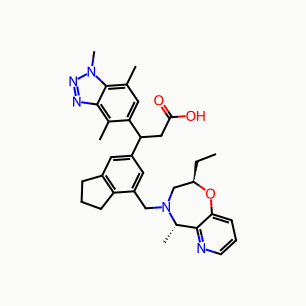 CC[C@@H]1CN(Cc2cc(C(CC(=O)O)c3cc(C)c4c(nnn4C)c3C)cc3c2CCC3)[C@@H](C)c2ncccc2O1